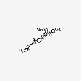 C=CC(=O)OCCCCOC(=O)C1CCCC(C(=O)Oc2ccc(OC(=O)C3CCC(C)CC3)c(C(=O)OC)c2)CC1